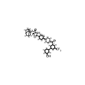 O=C(NS(=O)(=O)CC12CC3CC(CC(C3)C1)C2)c1ccc(N2CCN(C(=O)c3cc(-c4cccc(O)c4)cc(C(F)(F)F)c3)CC2)nn1